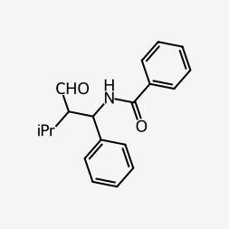 CC(C)C(C=O)C(NC(=O)c1ccccc1)c1ccccc1